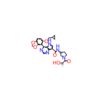 C[C@H](O)C(=O)N1CC[C@H](NC(=O)c2c[nH]c3c(-c4c(OCC5CC5)ccc5c4OCO5)ncnc23)C1